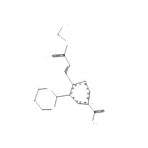 CCOC(=O)C=Cc1ccc(C(=O)O)cc1C1OCCCO1